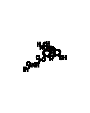 CC(C)C(=O)NCCC(=O)OC1=CC[C@@]2(O)[C@H]3Cc4ccc(O)c5c4[C@@]2(CCN3C)[C@H]1O5